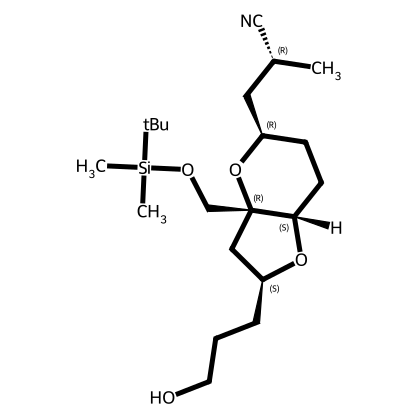 C[C@@H](C#N)C[C@H]1CC[C@@H]2O[C@@H](CCCO)C[C@]2(CO[Si](C)(C)C(C)(C)C)O1